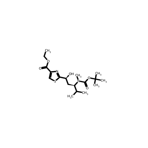 CCOC(=O)c1csc([C@@H](O)C[C@H](C(C)C)N(C)C(=O)OC(C)(C)C)n1